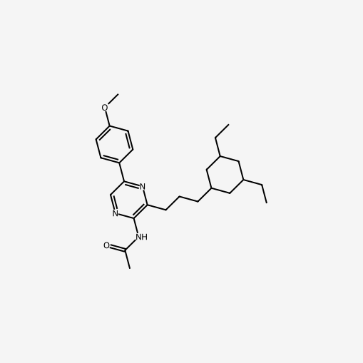 CCC1CC(CC)CC(CCCc2nc(-c3ccc(OC)cc3)cnc2NC(C)=O)C1